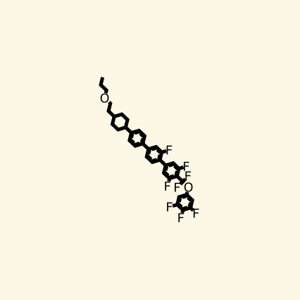 CCCOCCC1CCC(c2ccc(-c3ccc(-c4cc(F)c(C(F)(F)Oc5cc(F)c(F)c(F)c5)c(F)c4)c(F)c3)cc2)CC1